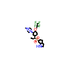 C=CC(c1ccc(OCC(F)(F)C(F)F)c(N2CCN(C)CC2)c1)S(=O)(=O)c1ccc2cc[nH]c2c1